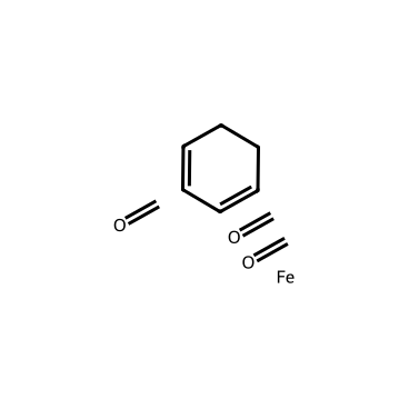 C1=CCCC=C1.C=O.C=O.C=O.[Fe]